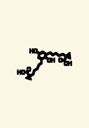 O=C(O)C1(CCCCCc2cc(O)cc(CCCCCC3(C(=O)O)CC3)c2O)CC1